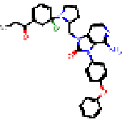 N#CCC(=O)C1=CC=C[C@](Br)(N2CCCC2Cn2c(=O)n(-c3ccc(Oc4ccccc4)cc3)c3c(N)nccc32)C1